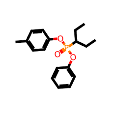 CCC(CC)P(=O)(Oc1ccccc1)Oc1ccc(C)cc1